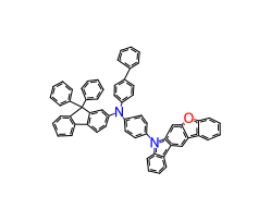 c1ccc(-c2ccc(N(c3ccc(-n4c5ccccc5c5cc6c(cc54)oc4ccccc46)cc3)c3ccc4c(c3)C(c3ccccc3)(c3ccccc3)c3ccccc3-4)cc2)cc1